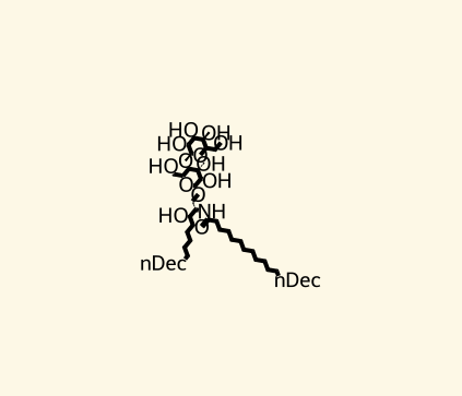 CCCCCCCCCCCCCCCCCCCCCC(=O)N[C@@H](CO[C@@H]1OC(CO)[C@@H](O[C@@H]2OC(CO)[C@H](O)[C@H](O)C2O)[C@H](O)C1O)[C@H](O)CCCCCCCCCCCCCCC